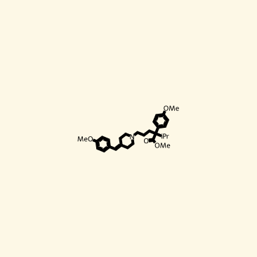 COC(=O)C(CCCN1CCC(=Cc2ccc(OC)cc2)CC1)(c1ccc(OC)cc1)C(C)C